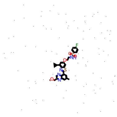 COCc1cnc2c(-c3nc4c(C5CC5)cc(OCCNS(=O)(=O)c5ccc(F)cc5)cc4s3)cc(C)cc2n1